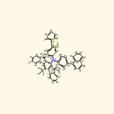 CC(C)(C)c1c2c(c(N(c3ccc(-c4cccc5ccccc45)cc3)c3ccc4c(c3)sc3ccccc34)c3c1-c1ccccc1C3(C)C)C(C)(C)c1ccccc1-2